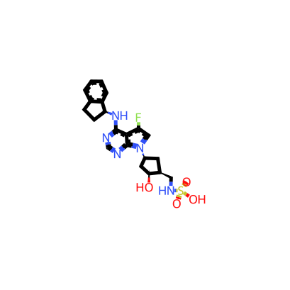 O=S(=O)(O)NC[C@@H]1C[C@@H](n2cc(F)c3c(N[C@H]4CCc5ccccc54)ncnc32)C[C@@H]1O